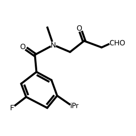 CC(C)c1cc(F)cc(C(=O)N(C)CC(=O)CC=O)c1